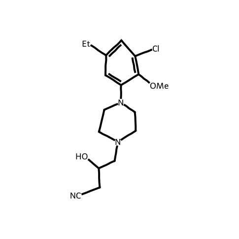 CCc1cc(Cl)c(OC)c(N2CCN(CC(O)CC#N)CC2)c1